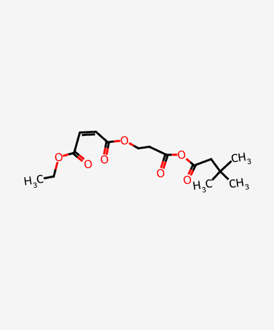 CCOC(=O)/C=C\C(=O)OCCC(=O)OC(=O)CC(C)(C)C